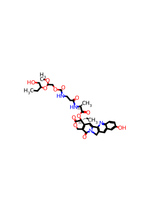 CCC(CO)OC(COC(=O)NCCC(=O)N[C@@H](C)C(=O)O[C@]1(CC)C(=O)OCc2c1cc1n(c2=O)Cc2cc3cc(O)ccc3nc2-1)OC